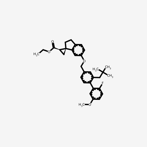 CCOC(=O)[C@@H]1C[C@]12CCc1ccc(OCc3ccc(-c4cc(OC)ccc4F)c(CC(C)(C)C)c3)cc12